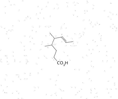 C/C=C/C(C)C(C)CCC(=O)O